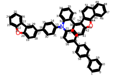 c1ccc(-c2ccc(-c3ccc(N(c4ccc(-c5ccc6oc7ccccc7c6c5)cc4)c4ccccc4-c4cccc5oc6c7ccccc7ccc6c45)cc3)cc2)cc1